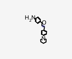 Nc1ccc(C(=O)/C=C/c2ccc(N3CCCCC3)cc2)cc1